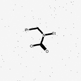 CCN(CC(C)C)C([O])=O